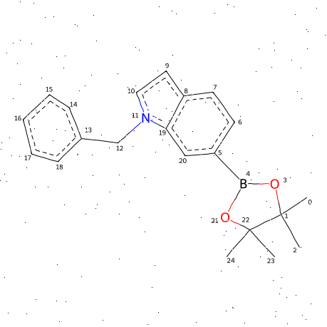 CC1(C)OB(c2ccc3ccn(Cc4ccccc4)c3c2)OC1(C)C